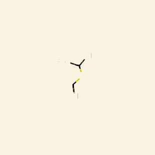 FC(F)(F)CSC(C(F)(F)F)C(F)(F)F